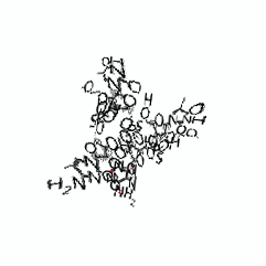 COCCO[C@@H]1[C@H](O)[C@@H](COP(O)(=S)O[C@H]2[C@@H](OCCOC)[C@H](n3cc(C)c(=O)[nH]c3=O)O[C@@H]2COP(O)(=S)O[C@H]2[C@@H](OCCOC)[C@H](n3cnc4c(N)ncnc43)O[C@@H]2COP(O)(=S)O[C@H]2[C@@H](OCCOC)[C@H](n3cc(C)c(=O)[nH]c3=O)O[C@@H]2CO)O[C@H]1n1cc(C)c(N)nc1=O